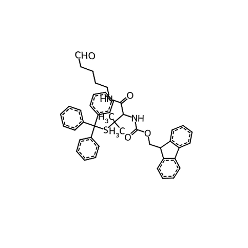 CC(C)(SC(c1ccccc1)(c1ccccc1)c1ccccc1)C(NC(=O)OCC1c2ccccc2-c2ccccc21)C(=O)NCCCCC=O